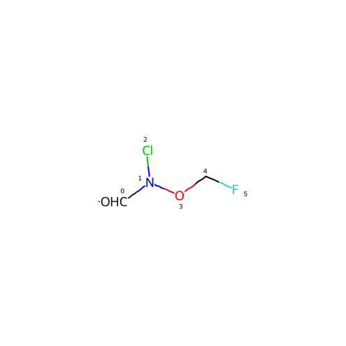 O=[C]N(Cl)OCF